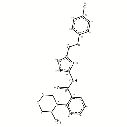 CC1COCCN1c1ncccc1C(=O)Nc1nnc(OCc2ccc(Cl)cc2)s1